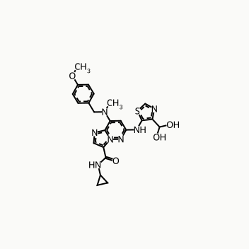 COc1ccc(CN(C)c2cc(Nc3scnc3C(O)O)nn3c(C(=O)NC4CC4)cnc23)cc1